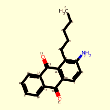 CCCCCc1c(N)ccc2c1C(=O)c1ccccc1C2=O